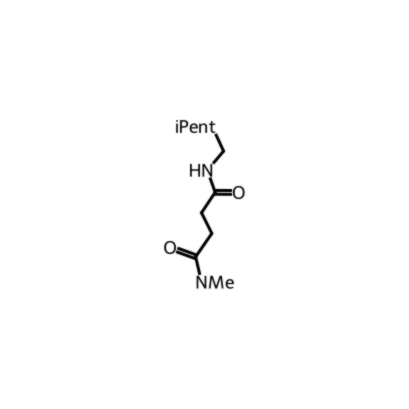 CCCC(C)CNC(=O)CCC(=O)NC